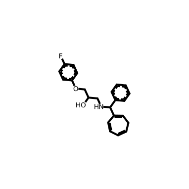 OC(CNC(C1=CCC=CC=C1)c1ccccc1)COc1ccc(F)cc1